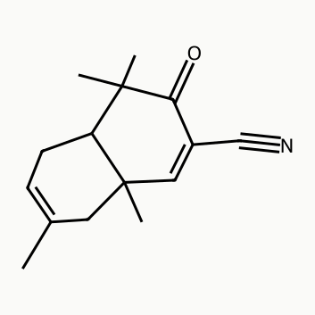 CC1=CCC2C(C)(C=C(C#N)C(=O)C2(C)C)C1